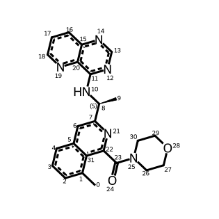 Cc1cccc2cc([C@H](C)Nc3ncnc4cccnc34)nc(C(=O)N3CCOCC3)c12